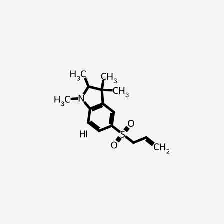 C=CCS(=O)(=O)c1ccc2c(c1)C(C)(C)C(C)N2C.I